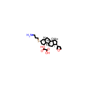 CO[C@]12CC[C@H](c3ccoc3)[C@@]1(C)CC[C@H]1[C@H]2CC[C@@H]2C[C@@H](SCCCN)CC[C@@]21C.O=C(O)C(=O)O